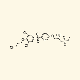 CCS(=O)(=O)CC(O)COc1ccc(S(=O)(=O)c2cc(Cl)c(OCCCCl)c(Cl)c2)cc1